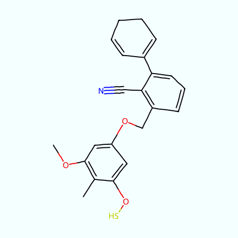 COc1cc(OCc2cccc(C3=CCCC=C3)c2C#N)cc(OS)c1C